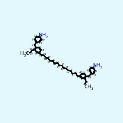 CCCc1cc(CCCCCCCCCCCCCCCCCc2ccc(Cc3ccc(N)cc3)c(CCC)c2)ccc1Cc1ccc(N)cc1